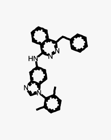 Cc1cccc(C)c1-n1cnc2cc(Nc3nnc(Cc4ccccc4)c4ccccc34)ccc21